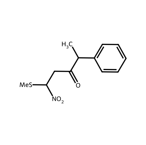 CSC(CC(=O)C(C)c1ccccc1)[N+](=O)[O-]